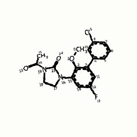 COc1c(-c2cccc(Cl)c2)cc(F)cc1N1CCN(C(C)=O)C1=O